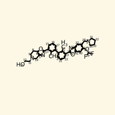 Cc1c(-c2nc3c(o2)CCN(CCO)C3)cccc1-c1cccc(-c2nc3cc(CN4CCCC4)c(OC(F)F)cc3o2)c1C